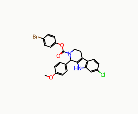 COc1ccc(C2c3[nH]c4cc(Cl)ccc4c3CCN2C(=O)Oc2ccc(Br)cc2)cc1